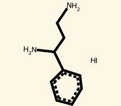 I.NCCC(N)c1ccccc1